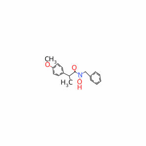 COc1ccc(C(C)C(=O)N(O)Cc2ccccc2)cc1